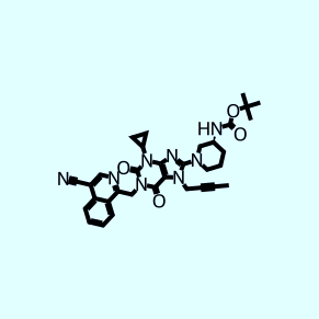 CC#CCn1c(N2CCC[C@@H](NC(=O)OC(C)(C)C)C2)nc2c1c(=O)n(Cc1ncc(C#N)c3ccccc13)c(=O)n2C1CC1